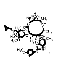 CC[C@H]1OC(=O)[C@H](C)[C@@H](O[C@H]2C[C@@](C)(OC)[C@](O)(CNCC3CC3)[C@H](C)O2)[C@H](C)[C@@H](O[C@@H]2O[C@H](C)C[C@H]3[C@H]2O/C(=N\c2ccc(OC)nc2)N3C)[C@](C)(O)C[C@@H](C)CN[C@H](C)[C@@H](O)[C@]1(C)O